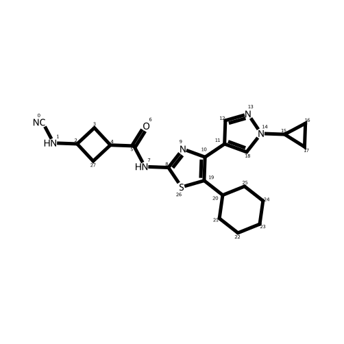 N#CNC1CC(C(=O)Nc2nc(-c3cnn(C4CC4)c3)c(C3CCCCC3)s2)C1